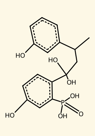 CC(CC(O)(O)c1ccc(O)cc1P(=O)(O)O)c1cccc(O)c1